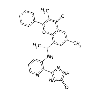 Cc1cc([C@@H](C)Nc2cccnc2-c2n[nH]c(=O)[nH]2)c2oc(-c3ccccc3)c(C)c(=O)c2c1